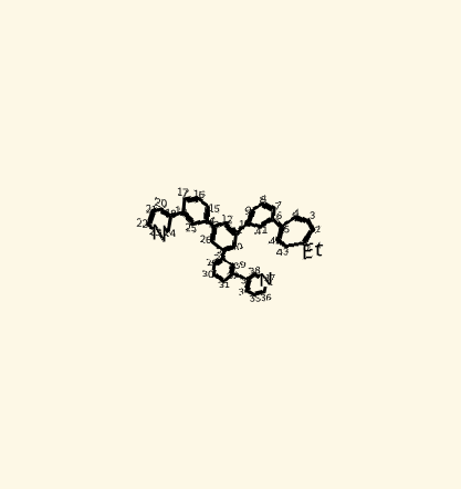 CCC1=CC=CC(c2cccc(-c3cc(-c4cccc(-c5cccnc5)c4)cc(-c4cccc(-c5cccnc5)c4)c3)c2)=CC1